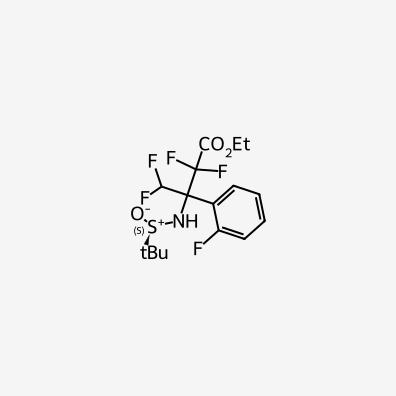 CCOC(=O)C(F)(F)C(N[S@+]([O-])C(C)(C)C)(c1ccccc1F)C(F)F